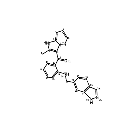 Cc1[nH]c2ccccc2c1C(=O)c1ccccc1NCc1ccc2cn[nH]c2c1